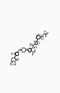 O=C1CCC(c2ccc(CN3CCC(n4cc(NC(=O)c5coc(-c6ccnc(NCC(F)(F)F)c6)n5)c(C(F)F)n4)CC3)cc2F)C(=O)N1